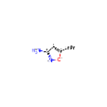 CCCc1cc(N)no1